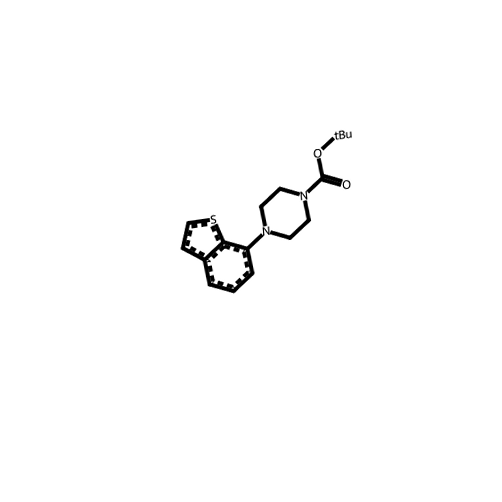 CC(C)(C)OC(=O)N1CCN(c2cccc3ccsc23)CC1